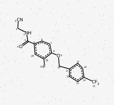 N#CCNC(=O)c1ccc(OCc2ccc(C(F)(F)F)cc2)c(F)c1